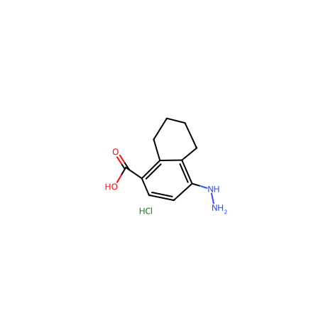 Cl.NNc1ccc(C(=O)O)c2c1CCCC2